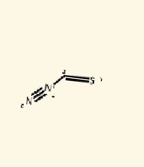 N#[N+]C=S